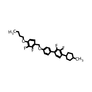 CCCCOc1ccc(COc2ccc(-c3ccc(C4CCC(C)CC4)c(F)c3F)cc2)c(F)c1F